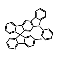 Brc1ccc2c(c1)C1(c3ccccc3-c3cc4c5ccccc5n(-c5ccccc5)c4cc31)c1cccnc1-2